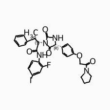 C[C@@H](c1ccccc1)[C@@H](C(=O)Nc1ccc(I)cc1F)N1C(=O)N[C@H](c2ccc(OCC(=O)N3CCCC3)cc2)C1=O